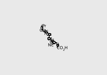 Cc1c(-c2nc3cc(CN4CC[C@@](C)(C(=O)O)C4)cc(C#N)c3o2)cccc1-c1cccc(-c2nc3c(s2)CN(C(=O)CN(C)C(C)C)C3)c1C